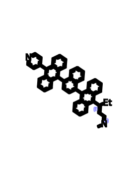 CC/C(=C\C=N/C)c1c2ccccc2c(-c2ccc(-c3c4ccccc4c(-c4ccncc4)c4ccccc34)c3ccccc23)c2ccccc12